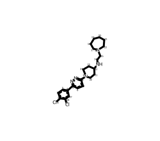 Clc1ccc(-c2ccc(N3CCC(NCCN4CCCCCC4)CC3)nn2)cc1Cl